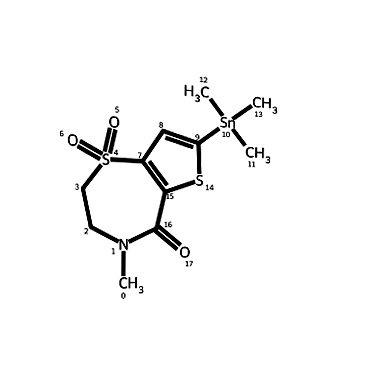 CN1CCS(=O)(=O)c2c[c]([Sn]([CH3])([CH3])[CH3])sc2C1=O